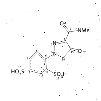 CNC(=O)C1=NN(c2ccc(S(=O)(=O)O)cc2S(=O)(=O)O)CC1=O